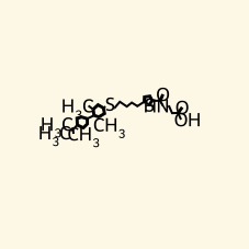 Cc1cc(SCCCCCc2ccc(C(=O)NCCC(=O)O)s2)cc(C)c1-c1ccc(C(C)(C)C)cc1